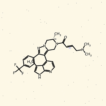 Cc1c[nH]c2nccc(-c3c(-c4ccc(C(F)(F)F)cc4)nn4c3CN(C(=O)/C=C/CN(C)C)[C@@H](C)C4)c12